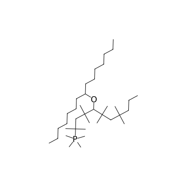 CCCCCCCC(CCCCCCC)OC(C(C)(C)CC(C)(C)CCC)C(C)(C)CC(C)(C)P(C)(C)(C)C